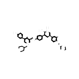 CCc1ccc(-c2cn(CC3CCOCC3)cc(C(=O)Nc3ccc(C4=CC(c5ccc(OC[C@H]6COCCO6)c(O)c5)=CNC4N)cc3)c2=O)cc1